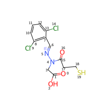 O=C(O)CN(/N=C/c1c(Cl)cccc1Cl)C(=O)CCS